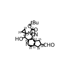 CC(C)(C)OC(=O)NC1(C(O)c2ncc3c(c2C#N)CC(C=O)C3)CC1